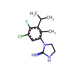 Cc1c(N2CCNC2=N)cc(Cl)c(F)c1C(C)C